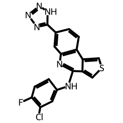 Fc1ccc(Nc2nc3cc(-c4nnn[nH]4)ccc3c3cscc23)cc1Cl